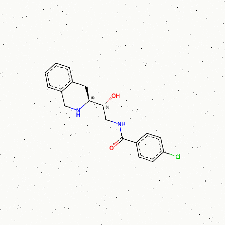 O=C(NC[C@@H](O)[C@@H]1Cc2ccccc2CN1)c1ccc(Cl)cc1